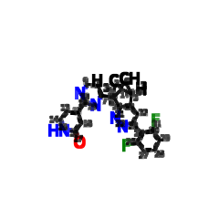 CC1(C)[C@H]2CC[C@@]1(c1ccnc(-c3cc[nH]c(=O)c3)n1)c1nnc(-c3c(F)cccc3F)cc12